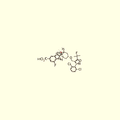 C[C@H]1C[C@@H]2C[C@@H](OCc3c(-c4c(Cl)cccc4Cl)noc3C(C)(C)F)C[C@@H]1[C@]2(O)c1nc2c(F)cc(C(=O)O)cc2s1